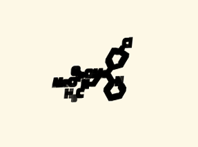 COP(=O)(OC)N(C)CCC(c1ccc(Cl)cc1)c1ccccn1